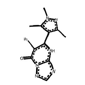 Cc1nn(C)c(C)c1-c1[nH]c2ncnn2c(=O)c1C(C)C